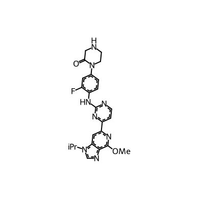 COc1nc(-c2ccnc(Nc3ccc(N4CCNCC4=O)cc3F)n2)cc2c1ncn2C(C)C